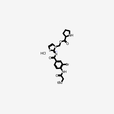 CC(C)(C)CC(=O)Nc1ccc(C(=O)/N=c2\sccn2COC(=O)C2CCCN2)cc1Br.Cl